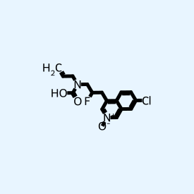 C=CCN(CC(F)Cc1c[n+]([O-])cc2cc(Cl)ccc12)C(=O)O